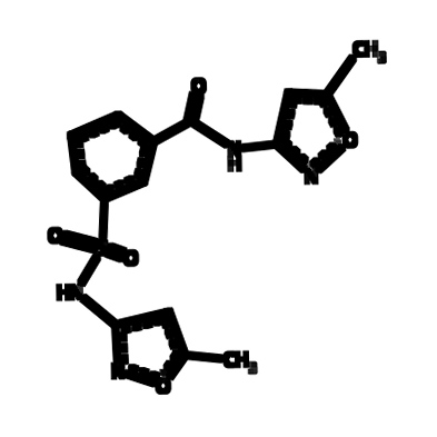 Cc1cc(NC(=O)c2cccc(S(=O)(=O)Nc3cc(C)on3)c2)no1